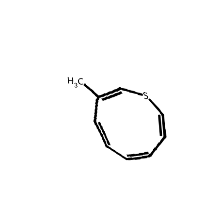 Cc1ccccccsc1